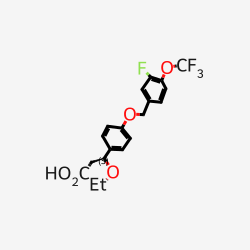 CCO[C@@H](CC(=O)O)c1ccc(OCc2ccc(OC(F)(F)F)c(F)c2)cc1